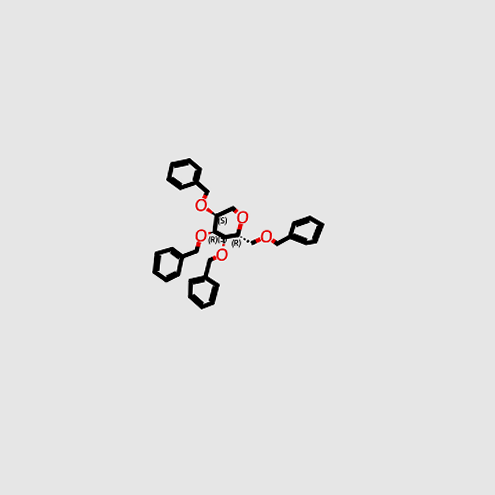 c1ccc(COC[C@H]2OC[C@H](OCc3ccccc3)[C@@H](OCc3ccccc3)[C@H]2OCc2ccccc2)cc1